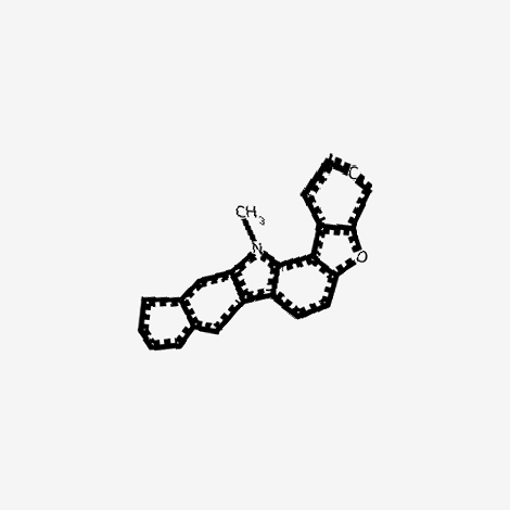 Cn1c2cc3ccccc3cc2c2ccc3oc4ccccc4c3c21